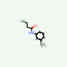 O=C(CCCl)Nc1cccc([N+](=O)[O-])c1